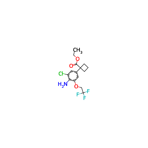 CCOC(=O)C1(c2cc(Cl)c(N)c(OCC(F)(F)F)c2)CCC1